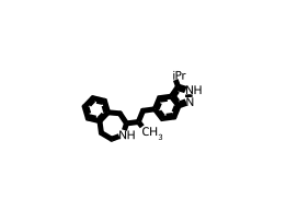 CC(C)c1[nH]nc2ccc(CC(C)C3Cc4ccccc4CCN3)cc12